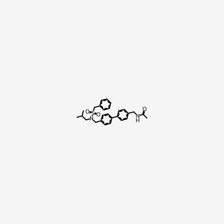 CC(=O)NCc1ccc(-c2ccc(CN(CC(C)C)S(=O)(=O)Cc3ccccc3)cc2)cc1